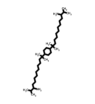 CC(C)C(N)CCCCCCCCCC(C)(C)C1CCC(C(C)(C)CCCCCCCCCC(N)C(C)C)CC1